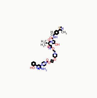 Cc1ncsc1-c1ccc([C@H](C)NC(=O)[C@@H]2C[C@@H](O)CN2C(=O)[C@@H](c2cc(OCCN3CCC(OC4CC(OC(=O)N5CCN(c6cc(-c7ccccc7O)nnc6N)CC5)C4)CC3)no2)C(C)C)cc1